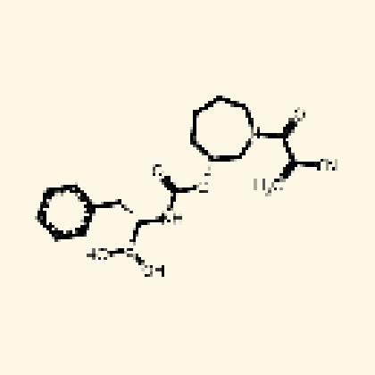 C=C(C#N)C(=O)N1CCCC[C@@H](OC(=O)N[C@@H](Cc2ccccc2)B(O)O)C1